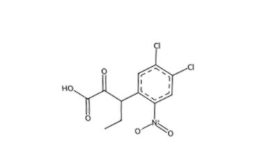 CCC(C(=O)C(=O)O)c1cc(Cl)c(Cl)cc1[N+](=O)[O-]